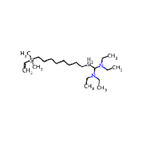 C=C[Si](C)(C)CCCCCCCC[SiH2]C(N(CC)CC)N(CC)CC